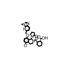 Cn1cnc2ccc(COc3ccc(Cl)c4c3C(N3CCCC3=O)N(C(=O)[C@@H]3CCCC[C@@H]3C(=O)O)CC4)nc21